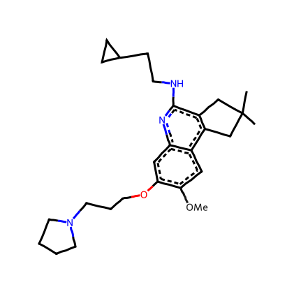 COc1cc2c3c(c(NCCC4CC4)nc2cc1OCCCN1CCCC1)CC(C)(C)C3